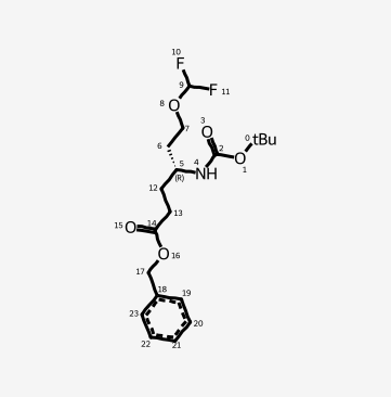 CC(C)(C)OC(=O)N[C@@H](CCOC(F)F)CCC(=O)OCc1ccccc1